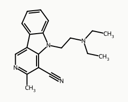 CCN(CC)CCn1c2ccccc2c2cnc(C)c(C#N)c21